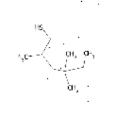 CCC(C)(C)CC(C)CS